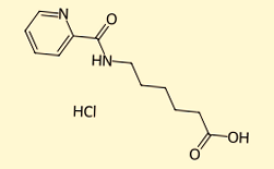 Cl.O=C(O)CCCCCNC(=O)c1ccccn1